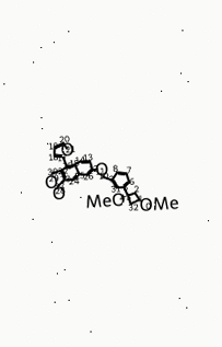 CO[C@H]1C[C@](OC)(c2cccc(COc3ccc4c(-c5ccco5)c5c(cc4c3)C(=O)OC5)c2)C1